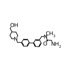 CN(Cc1cccc(-c2ccc(CN3CCC(CO)CC3)cc2)c1)C(=O)CN